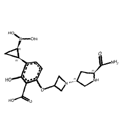 NC(=O)[C@@H]1C[C@@H](N2CC(Oc3ccc([C@H]4C[C@H]4B(O)O)c(O)c3C(=O)O)C2)CN1